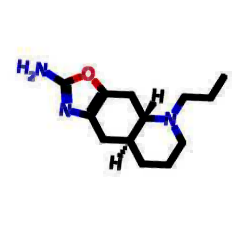 CCCN1CCC[C@H]2Cc3nc(N)oc3C[C@@H]21